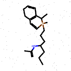 C=C(C)NC(CCC)CCCS1(C)C=CC2=C(C=CCC2)C1C